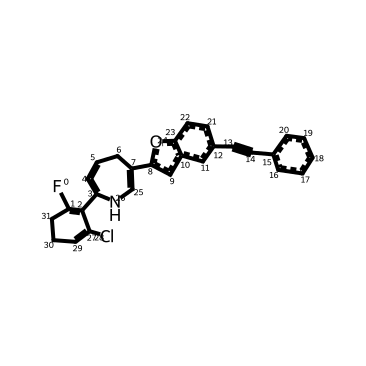 FC1=C(C2=C=CCC(c3cc4cc(C#Cc5ccccc5)ccc4o3)=CN2)C(Cl)=CCC1